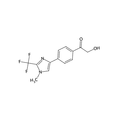 Cn1cc(-c2ccc(C(=O)CO)cc2)nc1C(F)(F)F